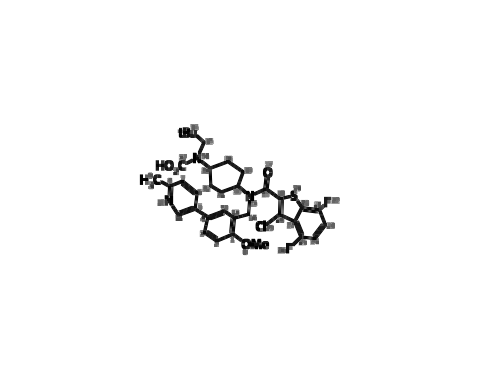 COc1ccc(-c2ccc(C)nc2)cc1CN(C(=O)c1sc2c(F)ccc(F)c2c1Cl)C1CCC(N(CC(C)(C)C)C(=O)O)CC1